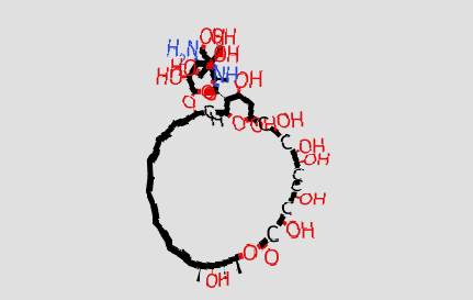 C[C@@H]1[C@H](O)[C@@H](C)/C=C/C=C/C=C/C=C/C=C/C=C/C=C/[C@H](O[C@@H]2O[C@H](C)[C@@H](O)[C@H](N)[C@@H]2O)C[C@@H]2O[C@](O)(C[C@@H](O)C[C@@H](O)[C@H](O)CC[C@@H](O)C[C@@H](O)CC(=O)O[C@H]1C)C[C@H](O)[C@H]2C(=O)NC(CO)(CO)CO